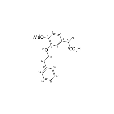 COc1ccc(C(C)C(=O)O)cc1OCCc1ccccc1